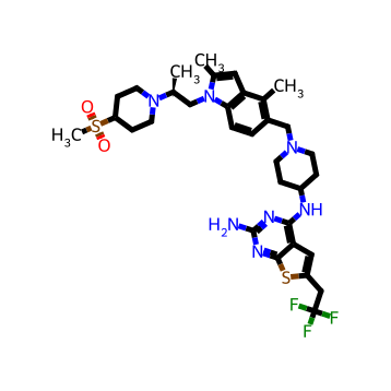 Cc1c(CN2CCC(Nc3nc(N)nc4sc(CC(F)(F)F)cc34)CC2)ccc2c1cc(C)n2C[C@H](C)N1CCC(S(C)(=O)=O)CC1